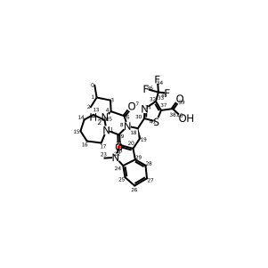 CC(C)C[C@H](N)C(=O)N(C(=O)N1CCCCCC1)[C@H](Cc1cn(C)c2ccccc12)c1nc(C(F)(F)F)c(C(=O)O)s1